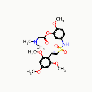 COc1cc(OC)c(/C=C/S(=O)(=O)Nc2ccc(OC)c(OC(=O)CN(C)C)c2)c(OC)c1